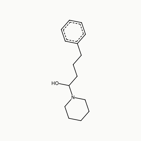 OC(CCCc1ccccc1)N1CCCCC1